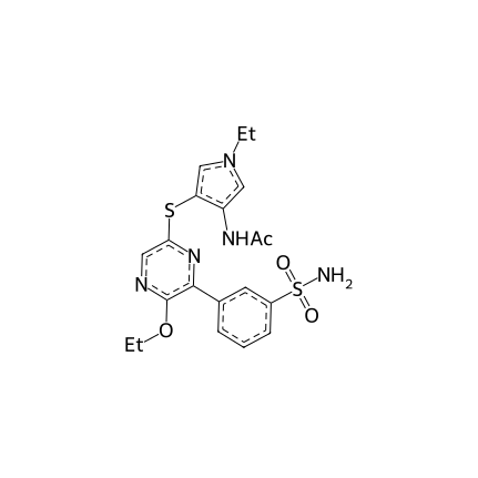 CCOc1ncc(Sc2cn(CC)cc2NC(C)=O)nc1-c1cccc(S(N)(=O)=O)c1